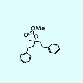 CO[Si](=O)OC(C)(CCc1ccccc1)CCc1ccccc1